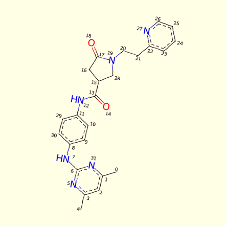 Cc1cc(C)nc(Nc2ccc(NC(=O)C3CC(=O)N(CCc4ccccn4)C3)cc2)n1